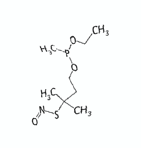 CCOP(C)OCCC(C)(C)SN=O